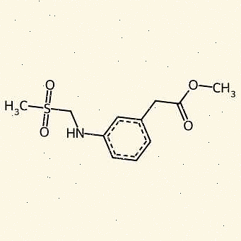 COC(=O)Cc1cccc(NCS(C)(=O)=O)c1